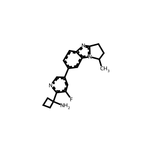 CC1CCc2nc3ccc(-c4cnc(C5(N)CCC5)c(F)c4)cc3n21